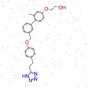 Cc1cc(OCCO)ccc1-c1cccc(COc2ccc(CCc3nnn[nH]3)cc2)c1